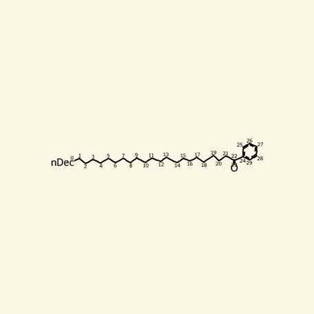 CCCCCCCCCCCCCCCCCCCCCCCCCCCCCCCC(=O)c1ccccc1